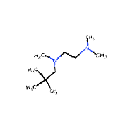 CN(C)CCN(C)CC(C)(C)C